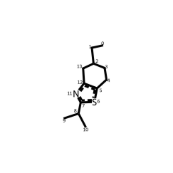 CCC1CCc2sc(C(C)C)nc2C1